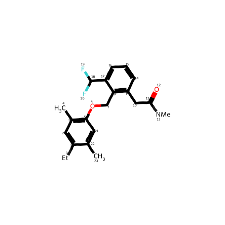 CCc1cc(C)c(OCc2c(CC(=O)NC)cccc2C(F)F)cc1C